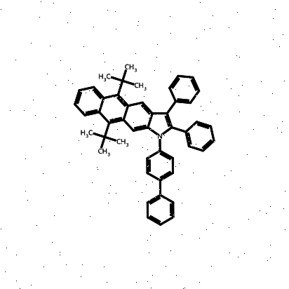 CC(C)(C)c1c2ccccc2c(C(C)(C)C)c2cc3c(cc12)c(-c1ccccc1)c(-c1ccccc1)n3-c1ccc(-c2ccccc2)cc1